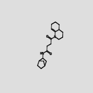 O=C(CCC(=O)N1CCCC2CCCC=C21)NC1CC2CCC1C2